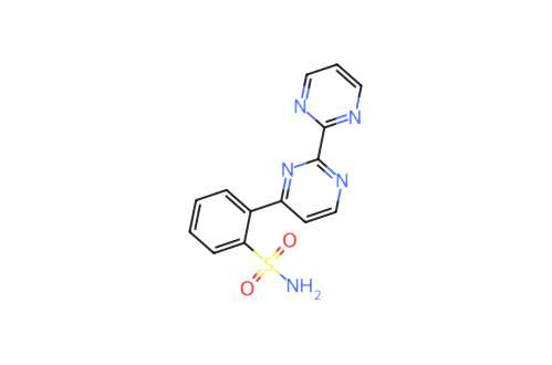 NS(=O)(=O)c1ccccc1-c1ccnc(-c2ncccn2)n1